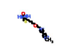 C[n+]1ccc(-c2cc[n+](CCCOCCCCCC3SCC4NC(=O)NC43)cc2)cc1